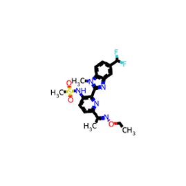 CCON=C(C)c1ccc(NS(C)(=O)=O)c(-c2nc3cc(C(F)F)ccc3n2C)n1